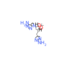 CC1(C)O[C@@H]2[C@@H](CCc3cnc(N)nc3)C[C@@H](n3ccc4c(N)ncnc43)[C@@H]2O1